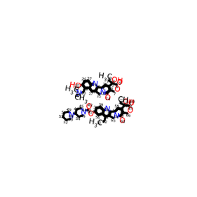 CC[C@@]1(O)C(=O)OCc2c1cc1n(c2=O)Cc2cc3c(CN(C)C)c(O)ccc3nc2-1.CCc1c2c(nc3ccc(OC(=O)N4CCC(N5CCCCC5)CC4)cc13)-c1cc3c(c(=O)n1C2)COC(=O)[C@]3(O)CC